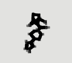 O=C1C2CCC(Cl)(C2)C1C(=O)N1CCC(c2c[nH]cn2)CC1